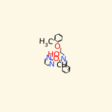 Cc1ccccc1OCC(O)CN(Cc1ccccc1)C(C)Oc1ncccn1